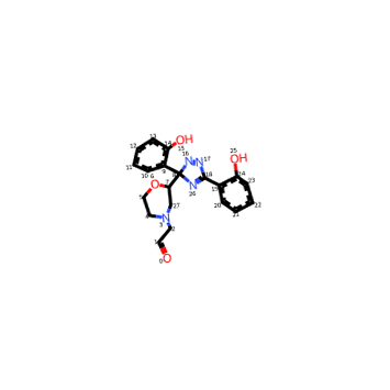 O=CCN1CCOC(C2(c3ccccc3O)N=NC(c3ccccc3O)=N2)C1